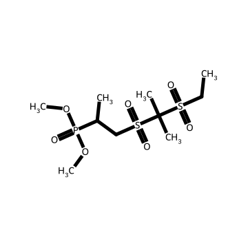 CCS(=O)(=O)C(C)(C)S(=O)(=O)CC(C)P(=O)(OC)OC